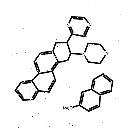 COc1ccc2ccccc2c1.c1ccc2c(c1)ccc1c3c(ccc12)CC(c1cnccn1)C(N1CCNCC1)C3